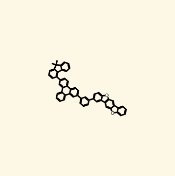 CC1(C)c2ccccc2-c2c(-c3ccc4c5ccc(-c6cccc(-c7ccc8oc9cc%10c(cc9c8c7)oc7ccccc7%10)c6)cc5c5ccccc5c4c3)cccc21